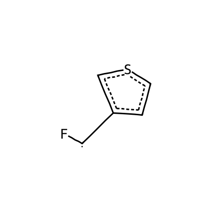 F[CH]c1ccsc1